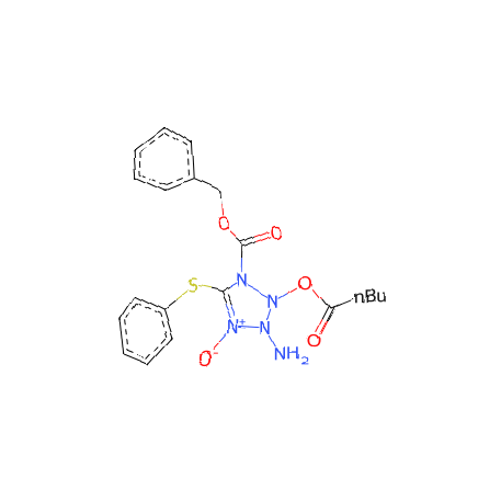 CCCCC(=O)ON1N(C(=O)OCc2ccccc2)C(Sc2ccccc2)=[N+]([O-])N1N